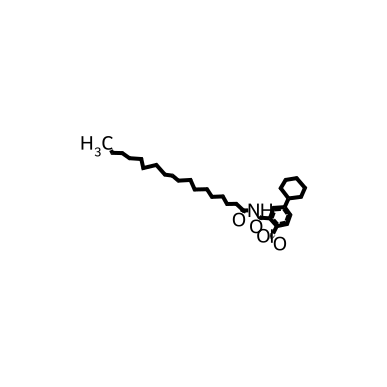 CCCCCCCCCCCCCCCCCC(=O)NC(=O)c1cc(C2CCCCC2)ccc1I(=O)=O